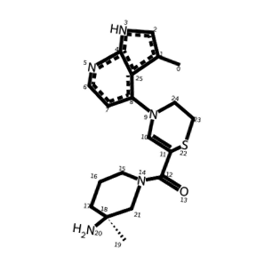 Cc1c[nH]c2nccc(N3C=C(C(=O)N4CCC[C@](C)(N)C4)SCC3)c12